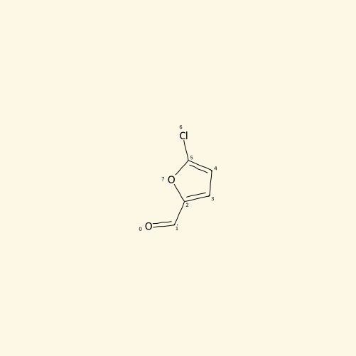 O=[C]c1ccc(Cl)o1